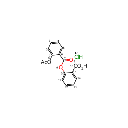 CC(=O)Oc1ccccc1C(=O)Oc1ccccc1C(=O)O.Cl